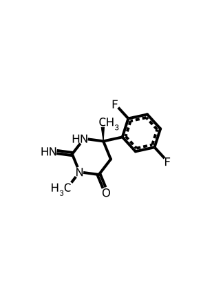 CN1C(=N)N[C@](C)(c2cc(F)ccc2F)CC1=O